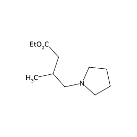 CCOC(=O)CC(C)CN1CCCC1